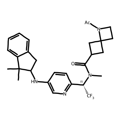 CC(=O)N1CCC12CC(C(=O)N(C)[C@@H](c1ccc(NC3Cc4ccccc4C3(C)C)cn1)C(F)(F)F)C2